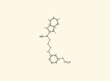 CCCCN(CCCOc1cccc(CC(=O)O)c1)c1nc2ccccc2o1